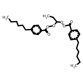 [CH2]C[C](OOC(=O)c1ccc(CCCCCC)cc1)OOC(=O)c1ccc(CCCCCC)cc1